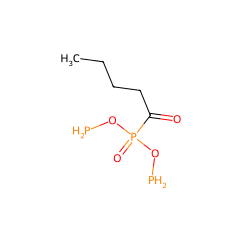 CCCCC(=O)P(=O)(OP)OP